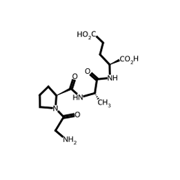 C[C@H](NC(=O)[C@@H]1CCCN1C(=O)CN)C(=O)N[C@@H](CCC(=O)O)C(=O)O